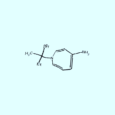 CCCC(C)(CC)N1C=CC=C(N)C=C1